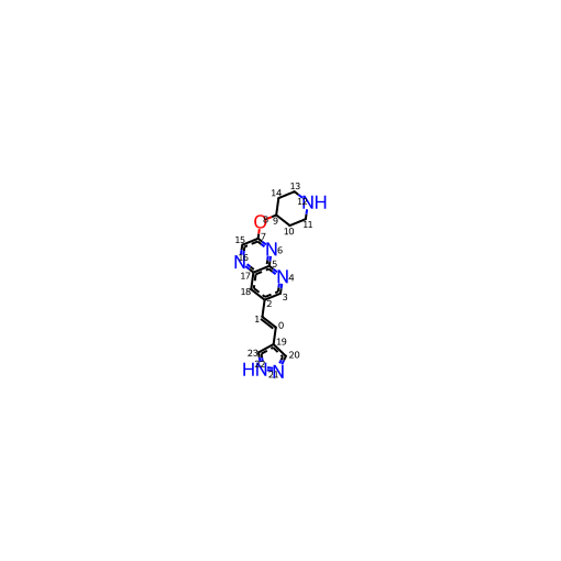 C(=C\c1cnc2nc(OC3CCNCC3)cnc2c1)/c1cn[nH]c1